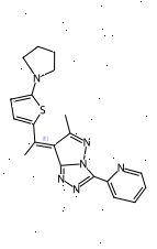 C/C(c1ccc(N2CCCC2)s1)=c1/c(C)nn2c(-c3ccccn3)nnc12